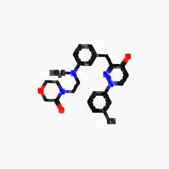 N#Cc1cccc(-n2ccc(=O)c(Cc3cccc(N(CCN4CCOCC4=O)C(=O)O)c3)n2)c1